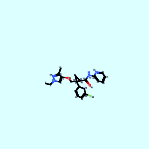 CCn1cc(OC[C@@]2(C3C=CC=C(F)C3)C[C@H]2C(=O)Nc2ccccn2)c(C)n1